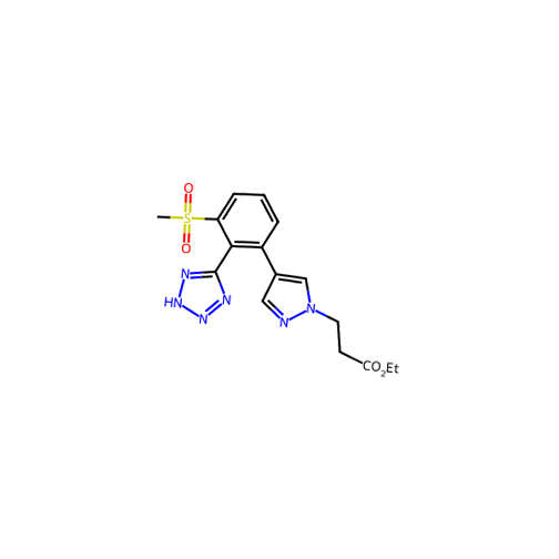 CCOC(=O)CCn1cc(-c2cccc(S(C)(=O)=O)c2-c2nn[nH]n2)cn1